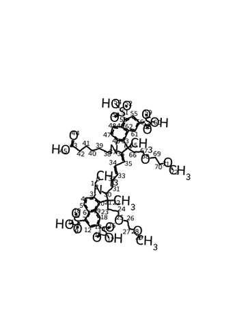 CCN1c2ccc3c(S(=O)(=O)O)cc(S(=O)(=O)O)cc3c2C(C)(CCOCCOC)C1C=CC=CC=C1N(CCCCCC(=O)O)c2ccc3c(S(=O)(=O)O)cc(S(=O)(=O)O)cc3c2C1(C)CCOCCOC